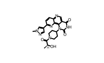 C[C@H](O)C(=O)N1CCC(n2c(=O)[nH]c(=O)c3cnc4ccc(-c5cnn(C)c5)nc4c32)CC1